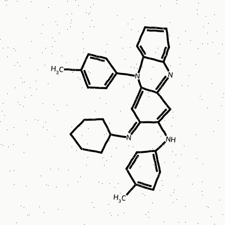 Cc1ccc(Nc2cc3nc4ccccc4n(-c4ccc(C)cc4)c-3cc2=NC2CCCCC2)cc1